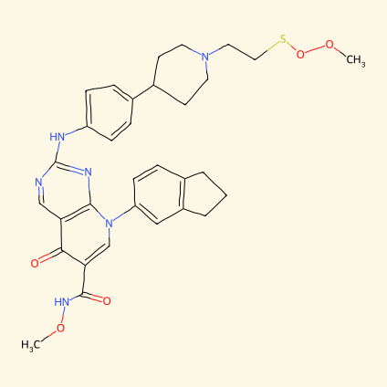 CONC(=O)c1cn(-c2ccc3c(c2)CCC3)c2nc(Nc3ccc(C4CCN(CCSOOC)CC4)cc3)ncc2c1=O